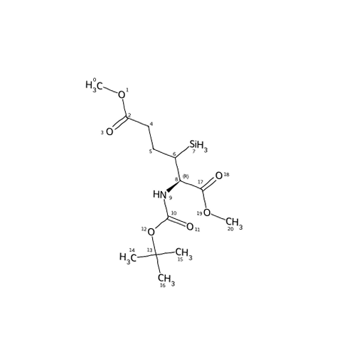 COC(=O)CCC([SiH3])[C@H](NC(=O)OC(C)(C)C)C(=O)OC